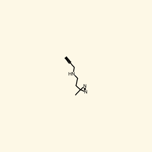 C#CCNCCC1(C)N=N1